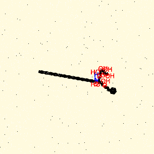 CC#CC#CC#CC#CC#CC#CC#CC#CC#CC#CC#CC#CC(=O)N[C@@H](CO[C@H]1OC(CO)[C@H](O)[C@H](O)C1O)[C@H](O)[C@H](O)COCCCc1ccccc1